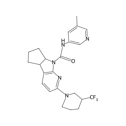 Cc1cncc(NC(=O)N2c3nc(N4CCCC(C(F)(F)F)C4)ccc3C3CCCC32)c1